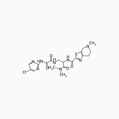 CN1CCc2nc(C(=O)NC(CNC(=O)C(=O)Nc3ncc(Cl)cn3)C(=O)N(C)C)sc2C1